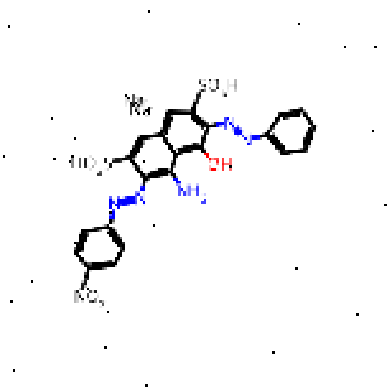 Nc1c(N=Nc2ccc([N+](=O)[O-])cc2)c(S(=O)(=O)O)cc2cc(S(=O)(=O)O)c(N=Nc3ccccc3)c(O)c12.[Na].[Na]